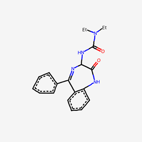 CCN(CC)C(=O)NC1N=C(c2ccccc2)c2ccccc2NC1=O